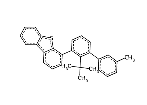 Cc1cccc(-c2cccc(-c3cccc4c3sc3ccccc34)c2C(C)(C)C)c1